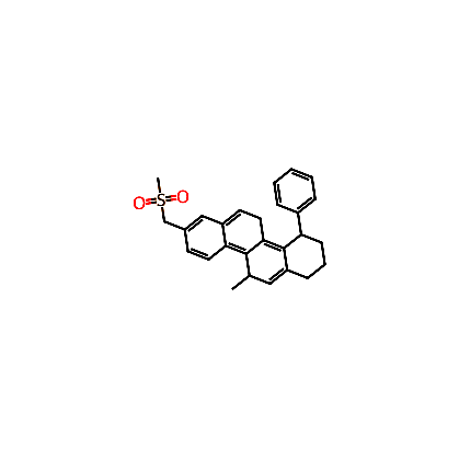 CC1C=C2CCCC(c3ccccc3)C2=C2CC=c3cc(CS(C)(=O)=O)ccc3=C21